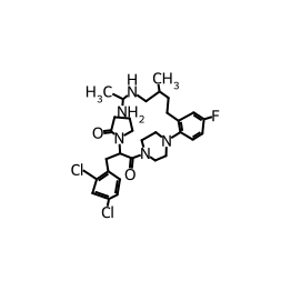 CC(CCc1cc(F)ccc1N1CCN(C(=O)C(Cc2ccc(Cl)cc2Cl)N2CCCC2=O)CC1)CNC(C)N